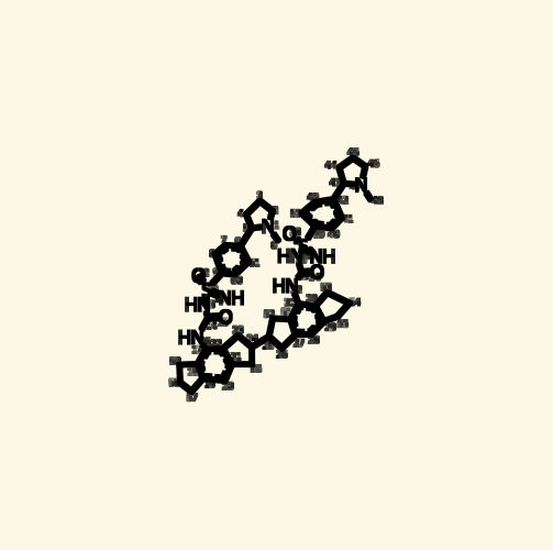 CN1CCCC1c1ccc(S(=N)(=O)NC(=O)Nc2c3c(cc4c2CC(C2Cc5cc6c(c(NC(=O)NS(=N)(=O)c7ccc(C8CCCN8C)cc7)c5C2)CCC6)C4)CCC3)cc1